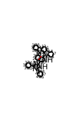 C1=CC(n2c3ccccc3c3ccc4c5ccccc5n(-c5ccccc5)c4c32)NC=C1C1N=C(c2ccccc2)N=C(c2ccccc2)N1